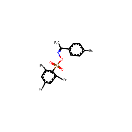 CCC(C)c1ccc(/C(=N\OS(=O)(=O)c2c(C(C)C)cc(C(C)C)cc2C(C)C)C(F)(F)F)cc1